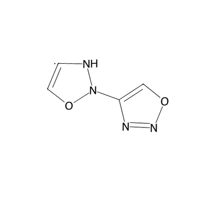 [C]1=CON(c2conn2)N1